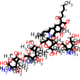 C/C=C/C1=CC2=CC3=C(C(=O)CCCCC)C(=O)OC3(C)C(=O)C2=CN1C1(C)[C@](C)(O)[C@](C)(COC[C@]2(C)OC(C)(CO)[C@@](C)(O)[C@@](C)(O)C2(C)N)C(C)(CO)O[C@@]1(C)COC[C@]1(C)C(C)(CO)O[C@@](C)(COC[C@]2(C)C(C)(CO)O[C@@](C)(O)C(C)(N)[C@]2(C)O)C(C)(N)[C@]1(C)O